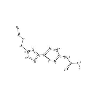 COC(=O)Nc1ncc(-c2ccc(CCC=O)o2)cn1